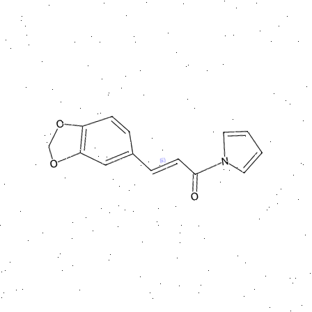 O=C(/C=C/c1ccc2c(c1)OCO2)n1cccc1